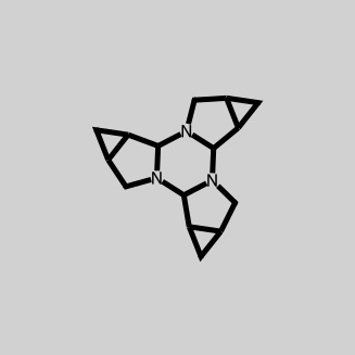 C1C2CN3C(C12)N1CC2CC2C1N1CC2CC2C31